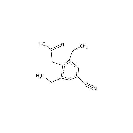 CCc1cc(C#N)cc(CC)c1CC(=O)O